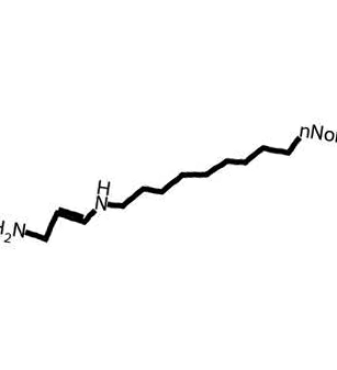 CCCCCCCCCCCCCCCCCCNC=CCN